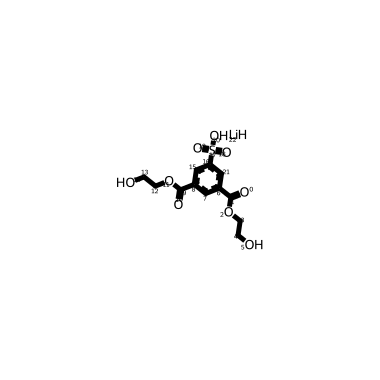 O=C(OCCO)c1cc(C(=O)OCCO)cc(S(=O)(=O)O)c1.[LiH]